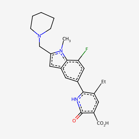 CCc1cc(C(=O)O)c(=O)[nH]c1-c1cc(F)c2c(c1)cc(CN1CCCCC1)n2C